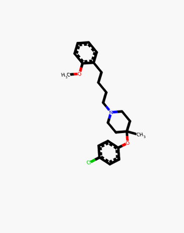 COc1ccccc1CCCCN1CCC(C)(Oc2ccc(Cl)cc2)CC1